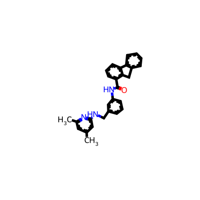 Cc1cc(C)nc(NCc2cccc(NC(=O)c3cccc4c3Cc3ccccc3-4)c2)c1